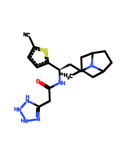 CC1CC2CCC(C1)N2CC[C@H](NC(=O)CC1=NNNN1)c1ccc(C#N)s1